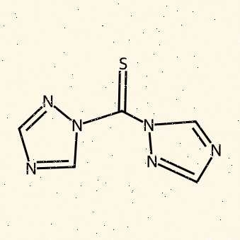 S=C(n1cncn1)n1cncn1